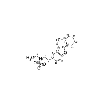 CCC1c2cc(CCN(CC)S(=O)(=O)O)ccc2OC1N1CCCCC1